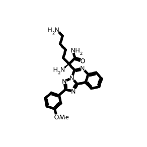 COc1cccc(-c2nc3c4ccccc4nc([C@](N)(CCCCN)C(N)=O)n3n2)c1